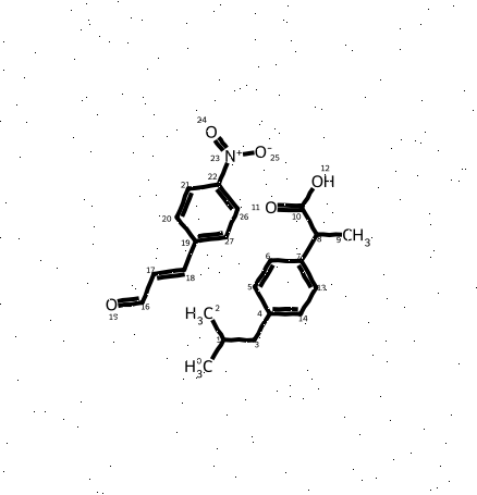 CC(C)Cc1ccc(C(C)C(=O)O)cc1.O=CC=Cc1ccc([N+](=O)[O-])cc1